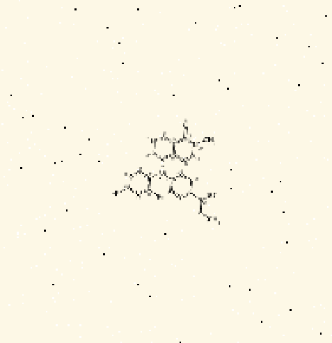 CC[S+]([O-])c1ccc(Oc2ccc(F)cc2F)c(-c2cn(C)c(=O)c3cncnc23)c1